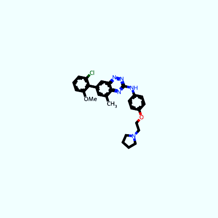 COc1cccc(Cl)c1-c1cc(C)c2nc(Nc3ccc(OCCN4CCCC4)cc3)nnc2c1